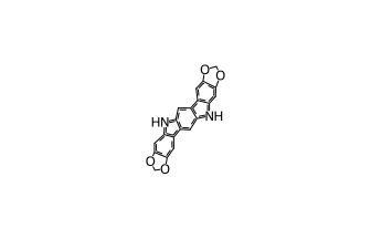 c1c2c(cc3c1[nH]c1cc4c(cc13)[nH]c1cc3c(cc14)OCO3)OCO2